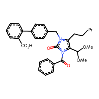 COC(OC)c1c(CCC(C)C)n(Cc2ccc(-c3ccccc3C(=O)O)cc2)c(=O)n1C(=O)c1ccccc1